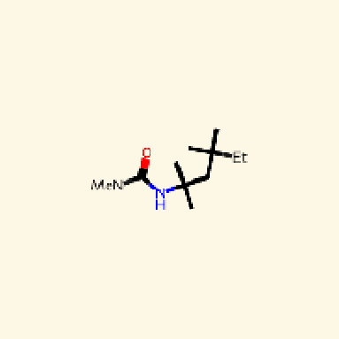 CCC(C)(C)CC(C)(C)NC(=O)NC